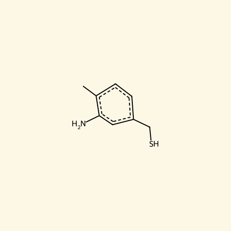 Cc1ccc(CS)cc1N